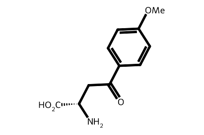 COc1ccc(C(=O)C[C@H](N)C(=O)O)cc1